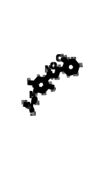 Cc1cc(C2=NOC(c3ccccc3Cl)C2)c(C)cc1N=CN(C)C